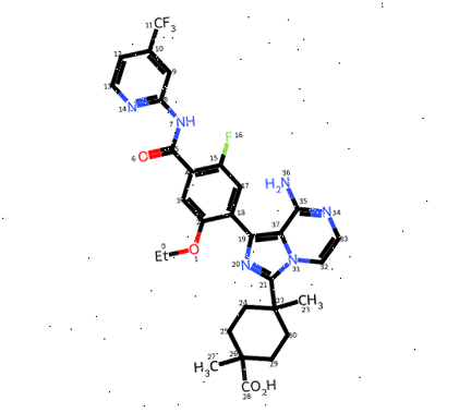 CCOc1cc(C(=O)Nc2cc(C(F)(F)F)ccn2)c(F)cc1-c1nc(C2(C)CCC(C)(C(=O)O)CC2)n2ccnc(N)c12